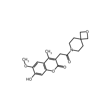 COc1cc2c(C)c(CC(=O)N3CCC4(CC3)COC4)c(=O)oc2cc1O